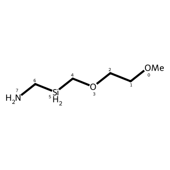 COCCOC[SiH2]CN